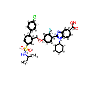 CC(C)NS(=O)(=O)c1ccc(-c2ccc(Cl)cc2)c(COc2ccc(-c3nc4cc(C(=O)O)ccc4n3C3CCCCC3)c(F)c2)c1